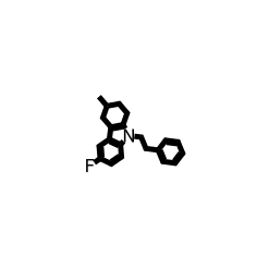 CC1CCc2c(c3cc(F)ccc3n2CCc2ccccc2)C1